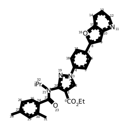 CCOC(=O)c1cn(-c2ccc(-c3cc4ncccc4o3)cc2)nc1N(C(=O)c1ccc(C)cc1C)C(C)C